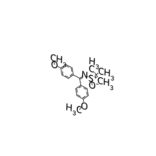 COc1ccc(C(=N[S+]([O-])C(C)(C)C)c2ccc(OC)cc2)cc1